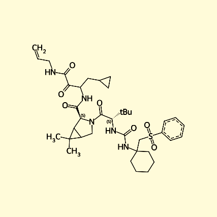 C=CCNC(=O)C(=O)C(CC1CC1)NC(=O)[C@@H]1C2C(CN1C(=O)[C@@H](NC(=O)NC1(CS(=O)(=O)c3ccccc3)CCCCC1)C(C)(C)C)C2(C)C